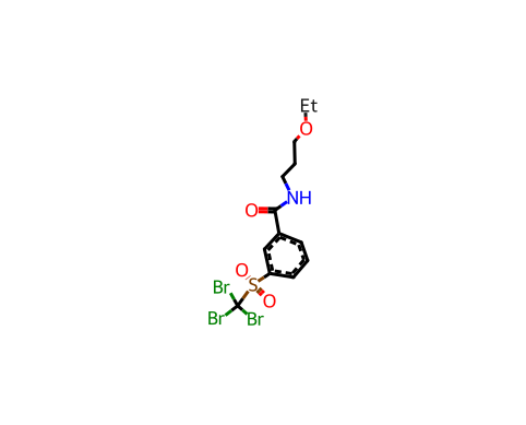 CCOCCCNC(=O)c1cccc(S(=O)(=O)C(Br)(Br)Br)c1